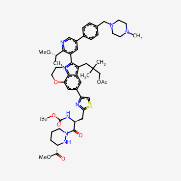 COC(=O)[C@@H]1CCCN(C(=O)[C@H](Cc2nc(-c3cc4c5c(c3)c(CC(C)(C)COC(C)=O)c(-c3cc(-c6ccc(CN7CCN(C)CC7)cc6)cnc3[C@H](C)OC)n5CCO4)cs2)NC(=O)OC(C)(C)C)N1